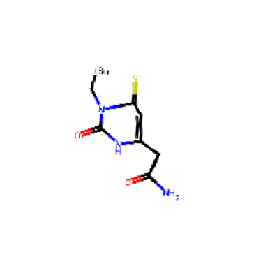 CC(C)(C)Cn1c(=S)cc(CC(N)=O)[nH]c1=O